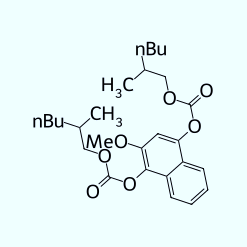 CCCCC(C)COC(=O)Oc1cc(OC)c(OC(=O)OCC(C)CCCC)c2ccccc12